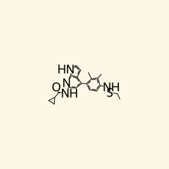 CCSNc1ccc(-c2cc(NC(=O)C3CC3)nc3[nH]ccc23)c(C)c1C